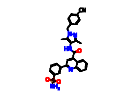 Cc1nn(Cc2ccc(C#N)cc2)c(C)c1NC(=O)c1cc(-c2cccc(S(N)(=O)=O)c2)nc2ccccc12